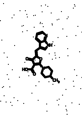 CC1CCN(C2=C(C(=O)O)C(=O)C(=Cc3c[nH]c4ncccc34)O2)CC1